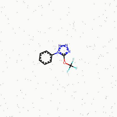 FC(F)(F)Oc1nnnn1-c1ccccc1